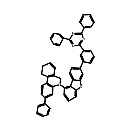 C1=CC2=C(CC1)c1ccc(-c3ccccc3)cc1N(c1cccc3oc4cc(-c5cccc(-c6nc(-c7ccccc7)nc(-c7ccccc7)n6)c5)ccc4c13)C2